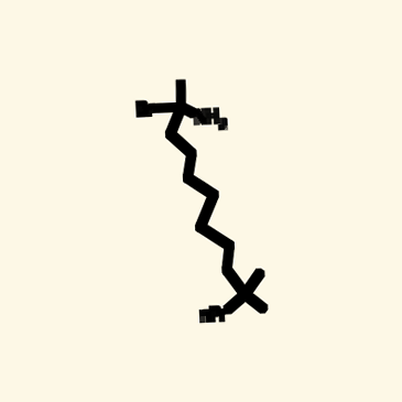 CCCC(C)(C)CCCCCCCC(C)(N)Br